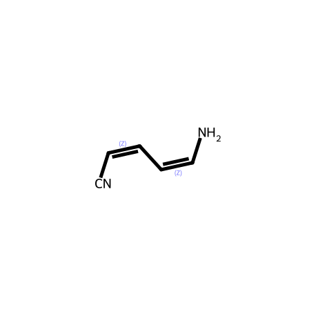 N#C/C=C\C=C/N